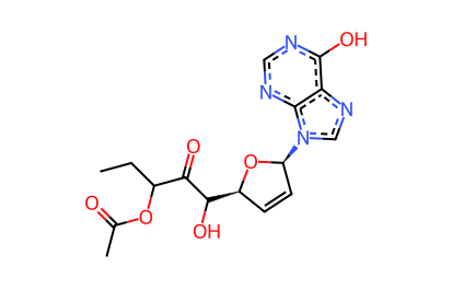 CCC(OC(C)=O)C(=O)C(O)[C@@H]1C=C[C@H](n2cnc3c(O)ncnc32)O1